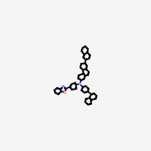 c1ccc2cc(-c3ccc4c(ccc5cc(N(c6ccc(-c7nc8ccccc8o7)cc6)c6ccc(-c7cccc8ccccc78)cc6)ccc54)c3)ccc2c1